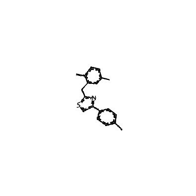 Cc1ccc(-c2csc(Cc3cc(C)ccc3C)n2)cc1